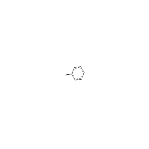 O=[N+]([O-])c1c[c]c[c]c1